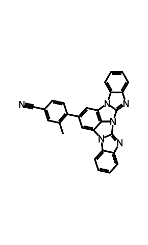 Cc1cc(C#N)ccc1-c1cc2c3c(c1)n1c4ccccc4nc1n3c1nc3ccccc3n21